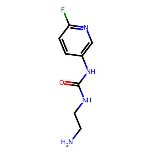 NCCNC(=O)Nc1ccc(F)nc1